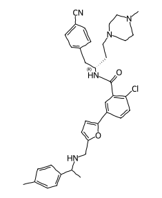 Cc1ccc(C(C)NCc2ccc(-c3ccc(Cl)c(C(=O)N[C@@H](CCN4CCN(C)CC4)Cc4ccc(C#N)cc4)c3)o2)cc1